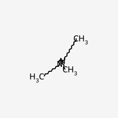 CCCCCCCCCCCCN1C=CN(CCCCCCCCCC)C1CCC